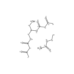 CC(=O)CC(=O)OCC(CO)OC(=O)CC(C)=O.CCOC(N)=O